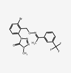 CC(=NOCc1c(Br)cccc1-n1nnn(C)c1=O)c1cccc(C(F)(F)F)c1